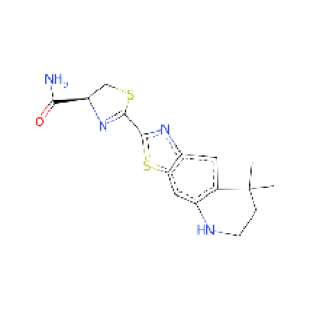 CC1(C)CCNc2cc3sc(C4=N[C@@H](C(N)=O)CS4)nc3cc21